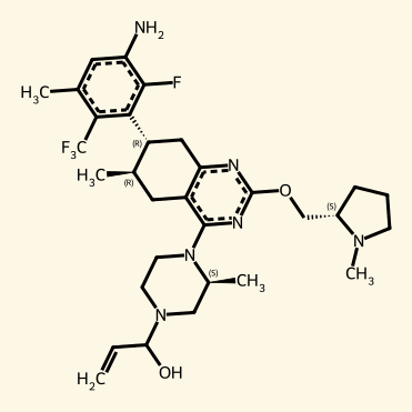 C=CC(O)N1CCN(c2nc(OC[C@@H]3CCCN3C)nc3c2C[C@@H](C)[C@H](c2c(F)c(N)cc(C)c2C(F)(F)F)C3)[C@@H](C)C1